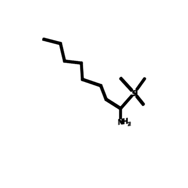 CCCCCCCC(N)[Si](C)(C)C